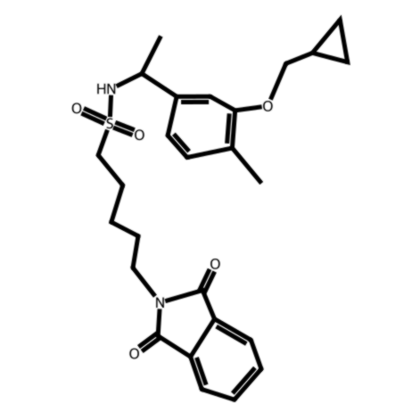 Cc1ccc(C(C)NS(=O)(=O)CCCCCN2C(=O)c3ccccc3C2=O)cc1OCC1CC1